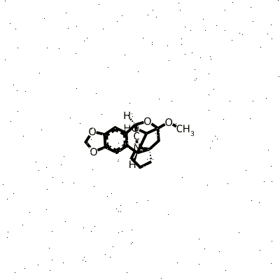 COC12C[C@]34CCCN3C[C@H](O1)c1cc3c(cc1[C@@H]4C2O)OCO3